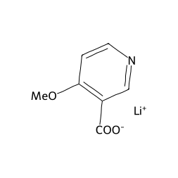 COc1ccncc1C(=O)[O-].[Li+]